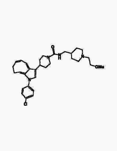 COCCN1CCC(CNC(=O)N2CCC(c3cn(-c4ccc(Cl)cc4)c4/c3=C\C=C/CC/C=4)CC2)CC1